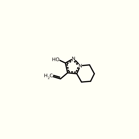 C=Cc1c(O)nn2c1CCCC2